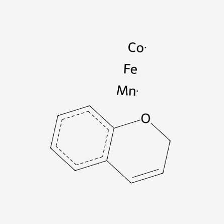 C1=Cc2ccccc2OC1.[Co].[Fe].[Mn]